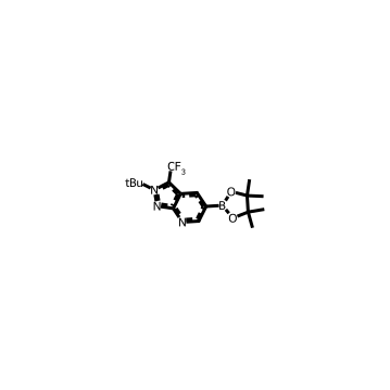 CC(C)(C)n1nc2ncc(B3OC(C)(C)C(C)(C)O3)cc2c1C(F)(F)F